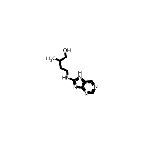 CC(CO)CCNc1nc2ncncc2[nH]1